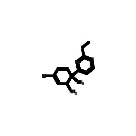 CSc1nccc(C2(N)C=CC(Cl)=CC2N)n1